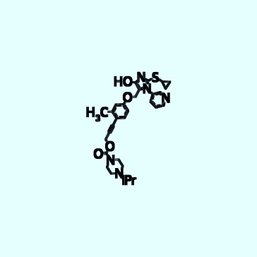 Cc1cc(OCc2c(O)nc(SC3CC3)n2-c2cccnc2)ccc1C#CCOC(=O)N1CCN(C(C)C)CC1